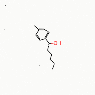 CCCCCC(O)c1ccc(C)cc1